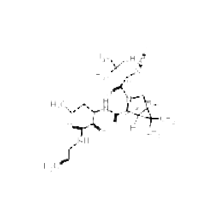 C=CCNC(=O)C(=O)C(CCC)NC(=O)[C@@H]1[C@@H]2[C@H](CN1C(=O)[C@@H](N=C=O)C(C)(C)C)C2(C)C